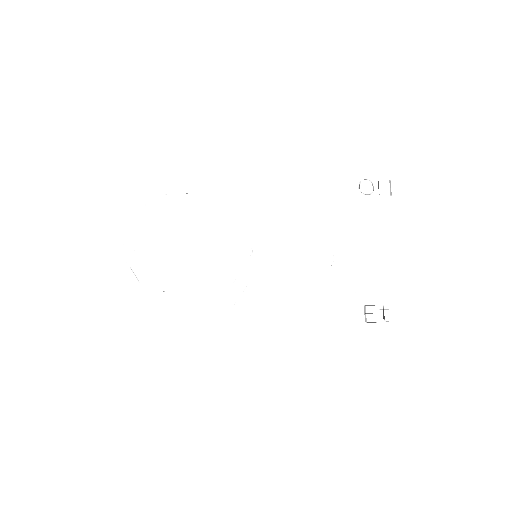 CC[C](O)c1ccccc1